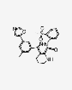 Cc1cc(-c2cnco2)cc(-c2nn(-c3ccccc3S(C)(=O)=O)c(=O)c3c2CCCN3)c1